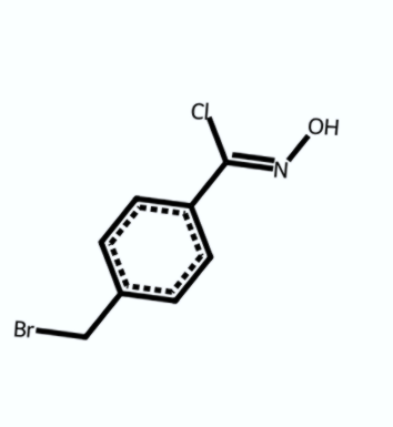 ON=C(Cl)c1ccc(CBr)cc1